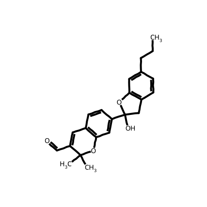 CCCc1ccc2c(c1)OC(O)(c1ccc3c(c1)OC(C)(C)C(C=O)=C3)C2